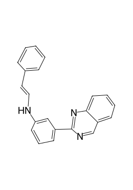 C(=Cc1ccccc1)Nc1cccc(-c2ncc3ccccc3n2)c1